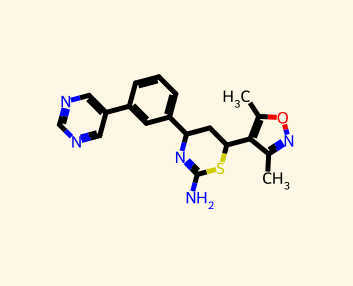 Cc1noc(C)c1C1CC(c2cccc(-c3cncnc3)c2)N=C(N)S1